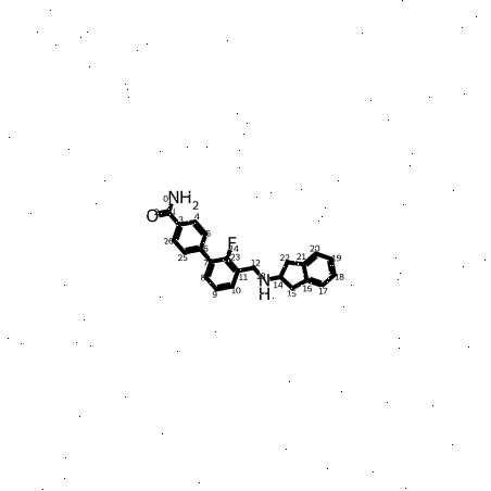 NC(=O)c1ccc(-c2cccc(CNC3Cc4ccccc4C3)c2F)cc1